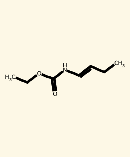 CCC=CNC(=O)OCC